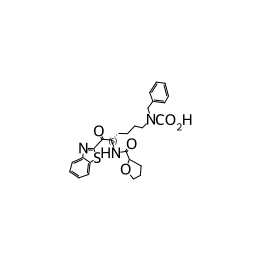 O=C(N[C@@H](CCCCN(Cc1ccccc1)C(=O)O)C(=O)c1nc2ccccc2s1)C1CCCO1